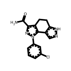 NC(=O)c1nn(-c2cccc(Cl)c2)c2c1CCc1[nH]ncc1-2